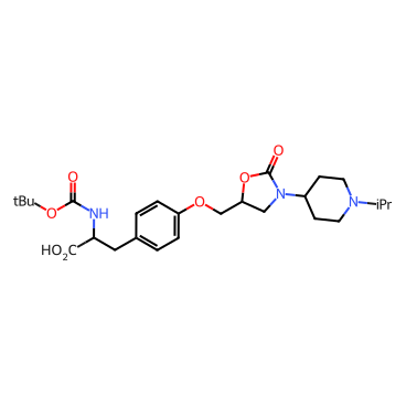 CC(C)N1CCC(N2CC(COc3ccc(CC(NC(=O)OC(C)(C)C)C(=O)O)cc3)OC2=O)CC1